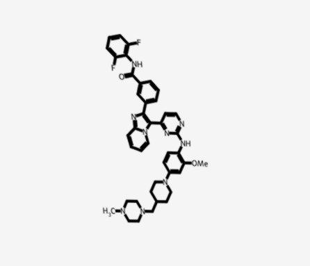 COc1cc(N2CCC(CN3CCN(C)CC3)CC2)ccc1Nc1nccc(-c2c(-c3cccc(C(=O)Nc4c(F)cccc4F)c3)nc3ccccn23)n1